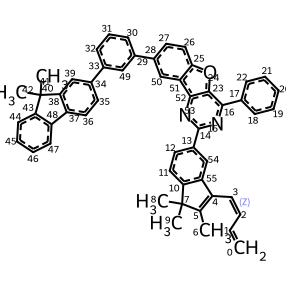 C=C/C=C\C1=C(C)C(C)(C)c2ccc(-c3nc(-c4ccccc4)c4oc5ccc(-c6cccc(-c7ccc8c(c7)C(C)(C)c7ccccc7-8)c6)cc5c4n3)cc21